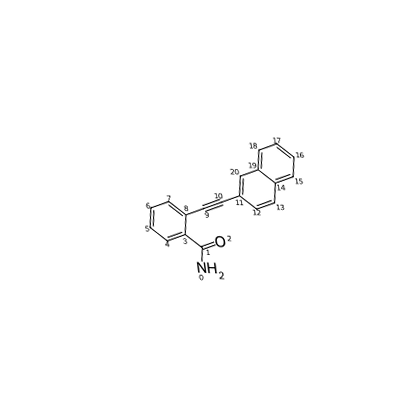 NC(=O)c1ccccc1C#Cc1ccc2ccccc2c1